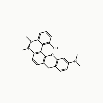 CN(C)c1ccc2c(c1)Oc1c(ccc(N(C)C)c1-c1c(O)cccc1N(C)C)C2